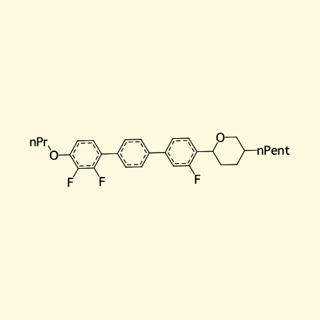 CCCCCC1CCC(c2ccc(-c3ccc(-c4ccc(OCCC)c(F)c4F)cc3)cc2F)OC1